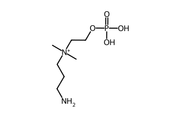 C[N+](C)(CCCN)CCOP(=O)(O)O